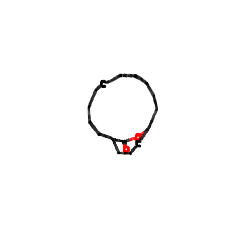 O=C1OC2CCCCCCCCCCC1CCC2